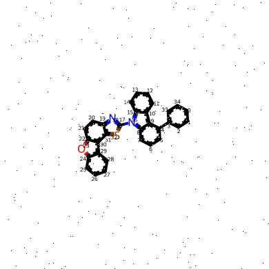 c1ccc(-c2cccc3c2c2ccccc2n3-c2nc3ccc4oc5ccccc5c4c3s2)cc1